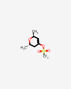 C[C@H]1C=C(OS(=O)(=O)C(F)(F)F)C[C@H](C)O1